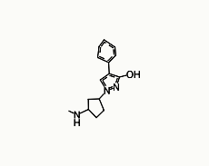 CNC1CCC(n2cc(-c3ccccc3)c(O)n2)C1